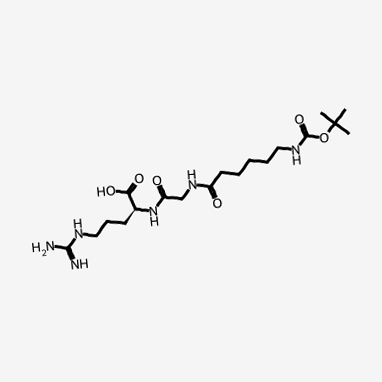 CC(C)(C)OC(=O)NCCCCCC(=O)NCC(=O)N[C@@H](CCCNC(=N)N)C(=O)O